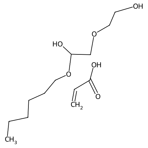 C=CC(=O)O.CCCCCCOC(O)COCCO